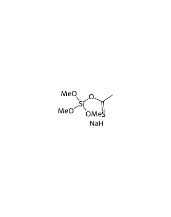 CO[Si](OC)(OC)OC(C)=S.[NaH]